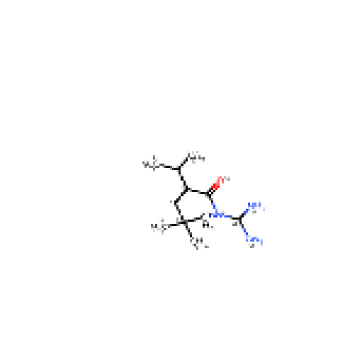 CC(C)C(CC(C)(C)C)C(=O)NC(N)N